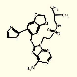 CC(C)CNS(=O)(=O)CCn1c(Sc2cc3c(cc2-c2nccs2)OCO3)nc2c(N)ncnc21